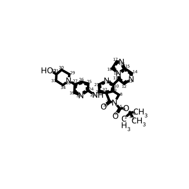 CC(C)(C)OC(=O)N1Cc2c(-c3cncc4nccn34)ncc(Nc3ccc(N4CCC(O)CC4)cn3)c2C1=O